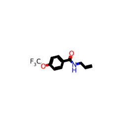 C=CCNC(=O)c1ccc(OC(F)(F)F)cc1